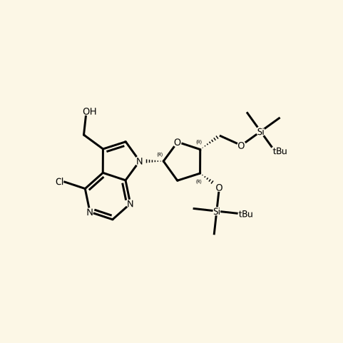 CC(C)(C)[Si](C)(C)OC[C@H]1O[C@@H](n2cc(CO)c3c(Cl)ncnc32)C[C@H]1O[Si](C)(C)C(C)(C)C